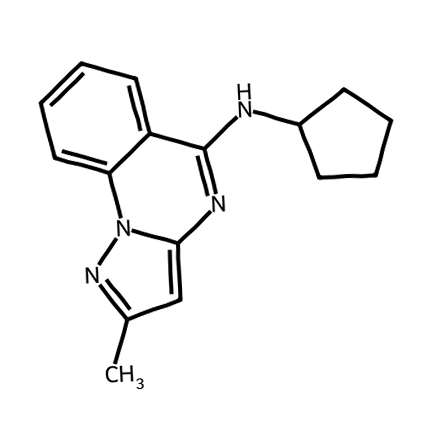 Cc1cc2nc(NC3CCCC3)c3ccccc3n2n1